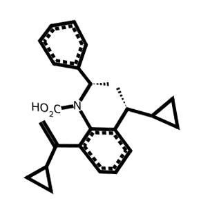 C=C(c1cccc([C@H](C)C2CC2)c1N(C(=O)O)[C@@H](C)c1ccccc1)C1CC1